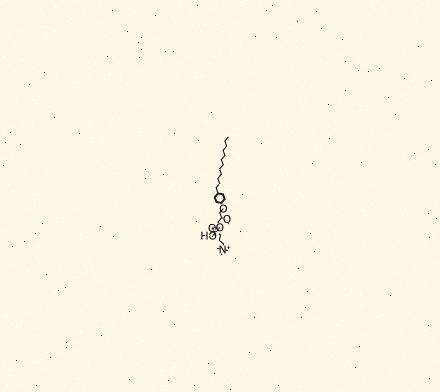 CCCCCCCCCCCCc1ccc(OCC(COP(=O)(O)CCC[N+](C)(C)C)OC)cc1